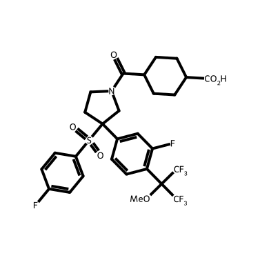 COC(c1ccc(C2(S(=O)(=O)c3ccc(F)cc3)CCN(C(=O)C3CCC(C(=O)O)CC3)C2)cc1F)(C(F)(F)F)C(F)(F)F